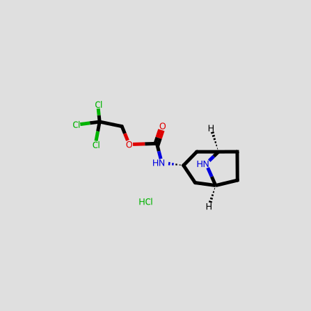 Cl.O=C(N[C@@H]1C[C@H]2CC[C@@H](C1)N2)OCC(Cl)(Cl)Cl